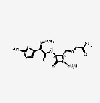 CON=C(C(=O)N[C@@H]1C(=O)N(S(=O)(=O)O)[C@@H]1COCC(N)=O)c1csc(N)n1